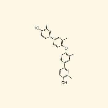 Cc1cc(-c2ccc(Oc3ccc(-c4ccc(O)c(C)c4)cc3C)c(C)c2)ccc1O